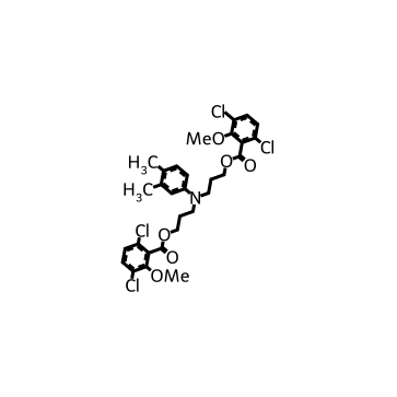 COc1c(Cl)ccc(Cl)c1C(=O)OCCCN(CCCOC(=O)c1c(Cl)ccc(Cl)c1OC)c1ccc(C)c(C)c1